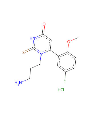 COc1ccc(F)cc1-c1cc(=O)[nH]c(=S)n1CCCN.Cl